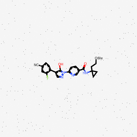 COCCC1(NC(=O)c2ccc(-n3ncc(-c4ccc(C#N)cc4F)c3O)nc2)CC1